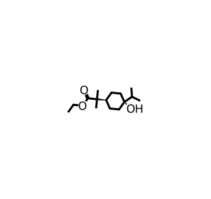 CCOC(=O)C(C)(C)[C@H]1CC[C@@](O)(C(C)C)CC1